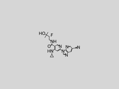 CC(C)(O)[C@H](F)CNC(=O)c1cnc(-n2cnc3cc(C#N)cnc32)cc1NC1CC1